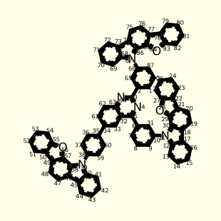 c1cc(-c2nc(-c3cccc(-n4c5ccccc5c5ccc6c7ccccc7oc6c54)c3)c3cc(-c4ccc(-n5c6ccccc6c6ccc7c8ccccc8oc7c65)cc4)ccc3n2)cc(-n2c3ccccc3c3ccc4c5ccccc5oc4c32)c1